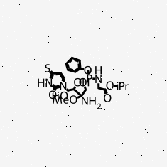 COC(N)(COP(NCC(=O)OC(C)C)Oc1ccccc1)C(O)C(O)n1ccc(=S)[nH]c1=O